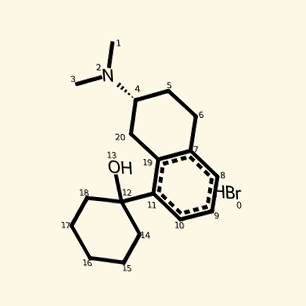 Br.CN(C)[C@@H]1CCc2cccc(C3(O)CCCCC3)c2C1